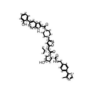 Cc1ncsc1-c1ccc(CNC(=O)[C@@H]2C[C@@H](O)CN2C(=O)[C@@H](c2cc(N3CCN(C(=O)c4cc5cc(-c6ccccc6O)nnc5[nH]4)CC3)no2)C(C)C)cc1